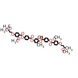 COc1cc(OCCC(C)OC)ccc1C(=O)Oc1ccc(C(=O)Oc2cc(C)c(OC(=O)c3ccc(OC(=O)c4ccc(OCCC(C)OC)cc4OC)cc3)c(C)c2)cc1